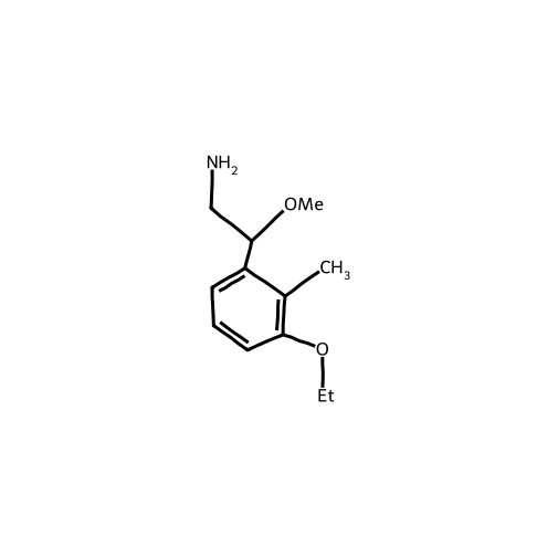 CCOc1cccc(C(CN)OC)c1C